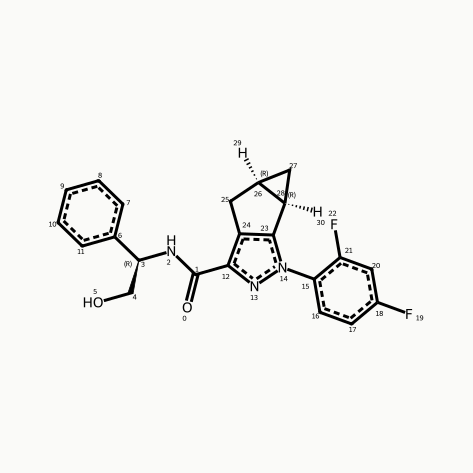 O=C(N[C@@H](CO)c1ccccc1)c1nn(-c2ccc(F)cc2F)c2c1C[C@H]1C[C@@H]21